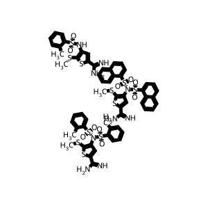 CSc1sc(C(=N)N)cc1N(S(=O)(=O)c1cccc2ccccc12)S(=O)(=O)c1cccc2ccccc12.CSc1sc(C(=N)N)cc1N(S(=O)(=O)c1ccccc1C)S(=O)(=O)c1ccccc1C.CSc1sc(C(=N)N)cc1NS(=O)(=O)c1ccccc1C